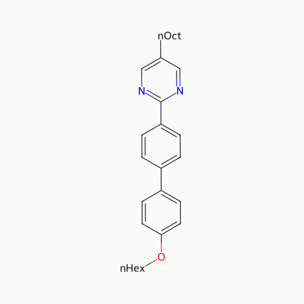 CCCCCCCCc1cnc(-c2ccc(-c3ccc(OCCCCCC)cc3)cc2)nc1